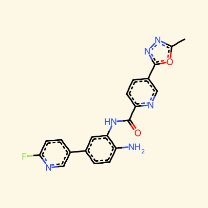 Cc1nnc(-c2ccc(C(=O)Nc3cc(-c4ccc(F)nc4)ccc3N)nc2)o1